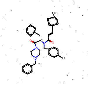 CCc1ccc(CN(C(=O)C=Cc2ccc(C)cc2)[C@@H](Cc2ccccc2)C(=O)N2CCN(Cc3ccccc3)CC2)cc1